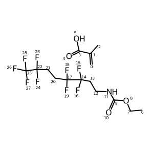 C=C(C)C(=O)O.CCOC(=O)NCCC(F)(F)C(F)(F)CCC(F)(F)C(F)(F)F